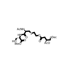 CCCCCCCCCCC[C@H](CC(=O)OCCSC[C@H](NC(C)=O)C(=O)N[C@@H](CO)C(=O)OC)OC(C)=O